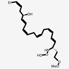 CC/C=C\C[C@@H](O)/C=C/C=C\C/C=C\C/C=C\C=C\[C@H](CCOOC)NOO